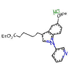 CCOC(=O)CCCCc1cn(-c2cccnc2)c2ccc(OC)cc12.Cl